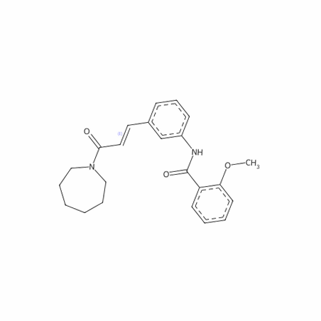 COc1ccccc1C(=O)Nc1cccc(/C=C/C(=O)N2CCCCCC2)c1